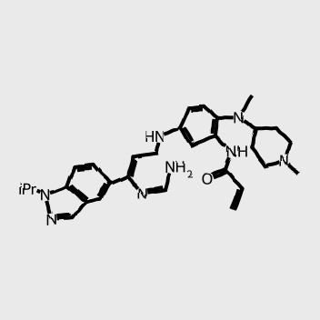 C=CC(=O)Nc1cc(NC/C=C(\N=C/N)c2ccc3c(cnn3C(C)C)c2)ccc1N(C)C1CCN(C)CC1